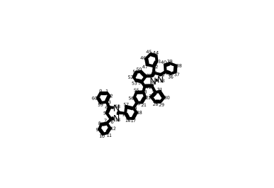 c1ccc(-c2cc(-c3ccccc3)nc(-c3cccc(-c4ccc(-c5c(-c6ccccc6)n6nc(-c7ccccc7)c(-c7ccccc7)c6c6ccccc56)cc4)c3)n2)cc1